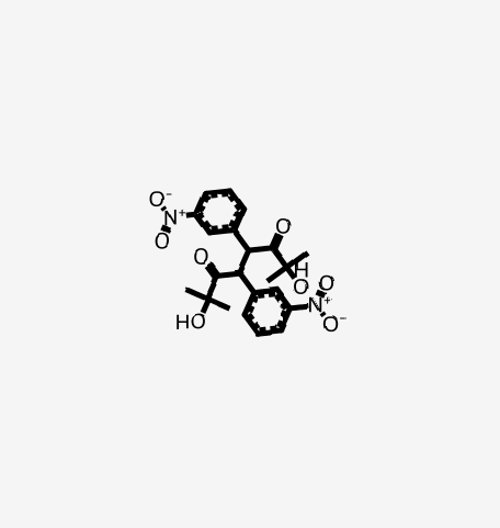 CC(C)(O)C(=O)C(c1cccc([N+](=O)[O-])c1)C(C(=O)C(C)(C)O)c1cccc([N+](=O)[O-])c1